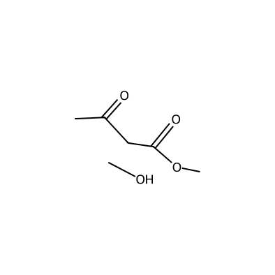 CO.COC(=O)CC(C)=O